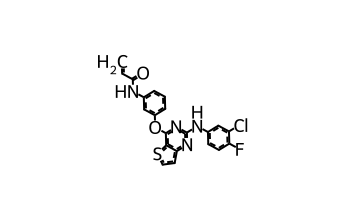 C=CC(=O)Nc1cccc(Oc2nc(Nc3ccc(F)c(Cl)c3)nc3ccsc23)c1